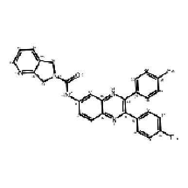 O=C(Nc1ccc2nc(-c3ccc(F)cc3)c(-c3ccc(F)cc3)nc2c1)N1Cc2cccnc2C1